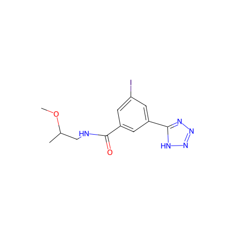 COC(C)CNC(=O)c1cc(I)cc(-c2nnn[nH]2)c1